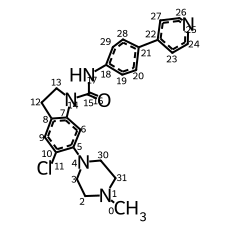 CN1CCN(c2cc3c(cc2Cl)CCN3C(=O)Nc2ccc(-c3ccncc3)cc2)CC1